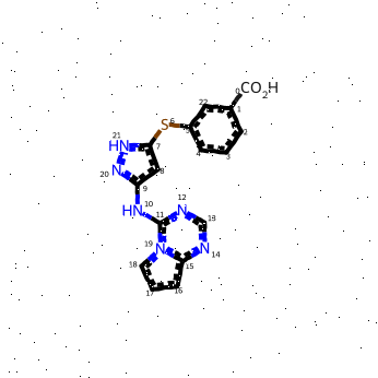 O=C(O)c1cccc(Sc2cc(Nc3ncnc4cccn34)n[nH]2)c1